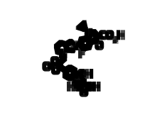 O=C(O)c1cn(C2CC2)c2cc(N3CC4CCCN(Cc5oc(=O)oc5-c5ccc(P(=O)(O)CP(=O)(O)O)cc5)C4C3)c(F)cc2c1=O